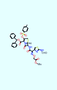 Cc1ccc(S(=O)(=O)OC2=C(C(=O)OC(c3ccccc3)c3ccccc3)N3C(=O)C(NC(=O)/C(=N/OCC(=O)OC(C)(C)C)c4csc(NC=O)n4)[C@H]3SC2)cc1